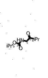 CC(C)OC(=O)NCC(=O)C(C)C